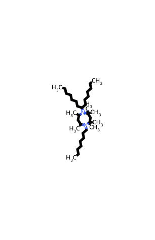 CCCCCCCCN1C(C)CC(C)N(C(CCCCCCC)CCCCCCC)C(C)(C)CC1(C)C